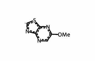 COc1cnc2n[c]sc2n1